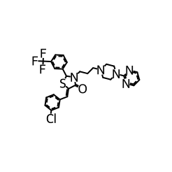 O=C1/C(=C/c2cccc(Cl)c2)SC(c2cccc(C(F)(F)F)c2)N1CCCN1CCN(c2ncccn2)CC1